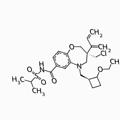 C=CC(=C)[C@]1(CCl)COc2ccc(C(=O)NS(=O)(=O)C(C)C)cc2N(C[C@@H]2CCC2OCC)C1